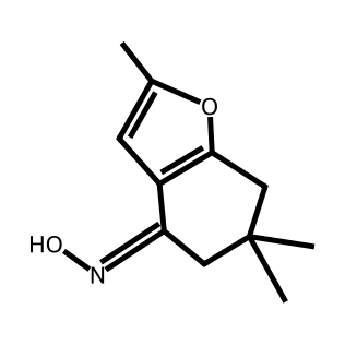 Cc1cc2c(o1)CC(C)(C)C/C2=N/O